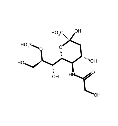 O=C(CO)N[C@H]1[C@H]([C@H](O)[C@@H](CO)OS(=O)(=O)O)O[C@](O)(C(=O)O)C[C@@H]1O